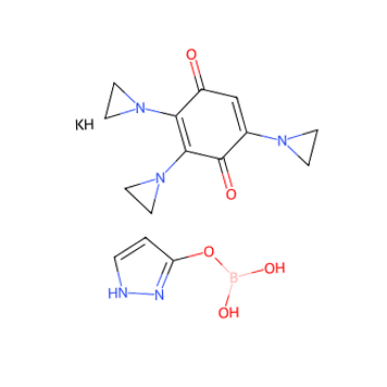 O=C1C=C(N2CC2)C(=O)C(N2CC2)=C1N1CC1.OB(O)Oc1cc[nH]n1.[KH]